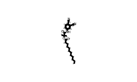 CCCCCCCCCCCC(=O)OC(C)(C)C(=O)Nc1ccc(C#N)c(C#N)c1